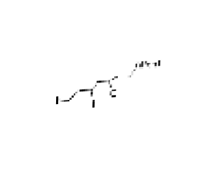 CCCCCCCC(Cl)CC(I)CCI